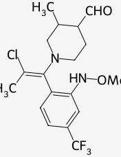 CONc1cc(C(F)(F)F)ccc1/C(=C(\C)Cl)N1CCC(C=O)C(C)C1